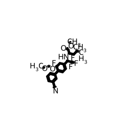 COCOC1(F)CC(C(NC(CC(C)C)C(=O)OC)C(F)(F)F)=CC=C1c1cccc(C#N)c1